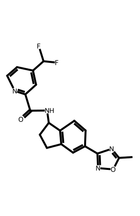 Cc1nc(-c2ccc3c(c2)CCC3NC(=O)c2cc(C(F)F)ccn2)no1